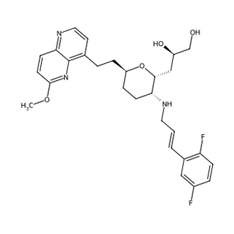 COc1ccc2nccc(CC[C@@H]3CC[C@@H](NC/C=C/c4cc(F)ccc4F)[C@@H](C[C@@H](O)CO)O3)c2n1